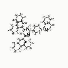 CN1C(c2ccc(C3=NC=CC4C=CC=CC34)cc2)=NC(C2=CC3C=CCCC3C3=C2CCC=C3)=CC1c1cc2ccccc2c2c1CCC=C2